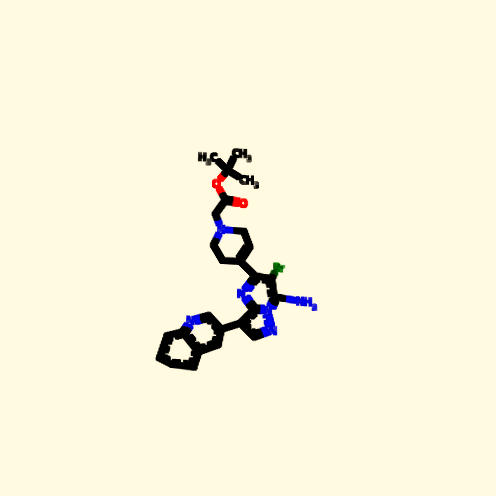 CC(C)(C)OC(=O)CN1CC=C(c2nc3c(-c4cnc5ccccc5c4)cnn3c(N)c2Br)CC1